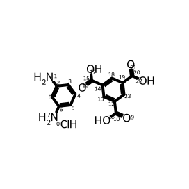 Cl.Nc1cccc(N)c1.O=C(O)c1cc(C(=O)O)cc(C(=O)O)c1